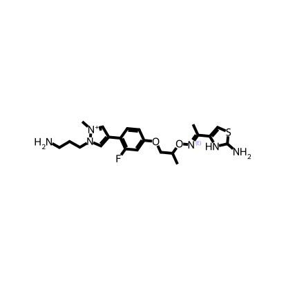 C/C(=N\OC(C)COc1ccc(-c2cn(CCCN)[n+](C)c2)c(F)c1)C1=CSC(N)N1